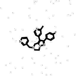 Cc1cc(-c2c(-c3ccc(F)cc3)nn3c2CN(Cc2cccnc2)CC3)ccn1